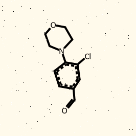 O=Cc1c[c]c(N2CCOCC2)c(Cl)c1